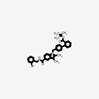 Cc1c(C)n(Cc2ccc(-c3ccccc3C(=O)OC(C)(C)C)cc2)c2ccc(C(=O)NCc3ccccc3Br)cc12